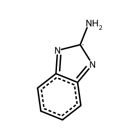 N[C]1N=c2ccccc2=N1